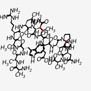 CC(C)C[C@H](NC(=O)[C@H](CCCNC(=N)N)NC(=O)[C@H](C)NC(=O)[C@H](Cc1c[nH]c2ccccc12)NC(=O)[C@H](C)NC(=O)[C@H](C)N)C(=O)N[C@@H](CC(C)C)C(=O)N[C@@H](CCC(N)=O)C(=O)N[C@@H](CCC(=O)O)C(=O)N[C@@H](Cc1c[nH]cn1)C(=O)N1CCC[C@H]1C(=O)N[C@@H](CC(N)=O)C(=O)N[C@@H](C)C(=O)O